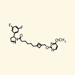 COc1ccnc(OCC23CC(CCCCCC(=O)N4N=CCC4c4cc(F)cc(F)c4)(C2)C3)n1